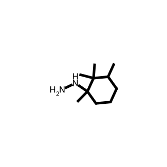 CC1CCCC(C)(NN)C1(C)C